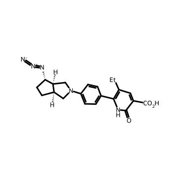 CCc1cc(C(=O)O)c(=O)[nH]c1-c1ccc(N2C[C@H]3CC[C@H](N=[N+]=[N-])[C@H]3C2)cc1